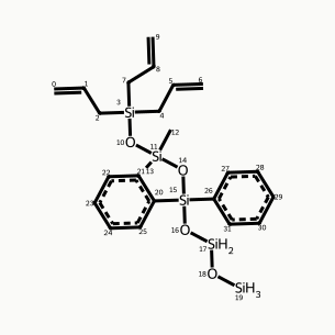 C=CC[Si](CC=C)(CC=C)O[Si](C)(C)O[Si](O[SiH2]O[SiH3])(c1ccccc1)c1ccccc1